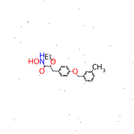 CCOC(Cc1ccc(OCc2cccc(C)c2)cc1)C(=O)NO